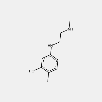 CNCCNc1ccc(C)c(O)c1